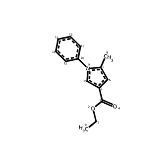 CCOC(=O)c1cc(C)n(-c2ccccc2)c1